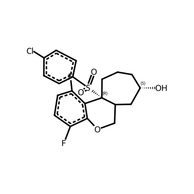 O=S(=O)(c1ccc(Cl)cc1)[C@]12CCC[C@H](O)CC1COc1c(F)ccc(F)c12